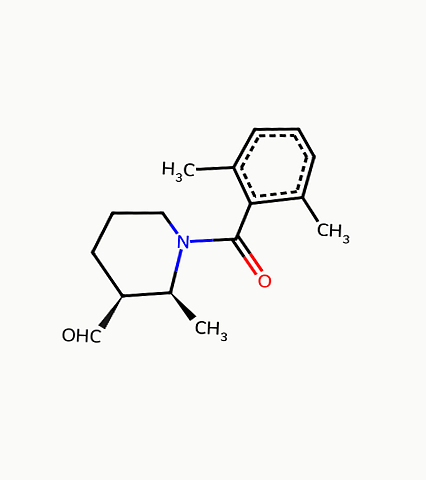 Cc1cccc(C)c1C(=O)N1CCC[C@H](C=O)[C@@H]1C